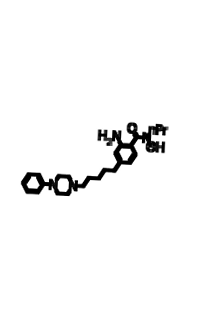 CCCN(O)C(=O)c1ccc(CCCCCN2CCN(c3ccccc3)CC2)cc1N